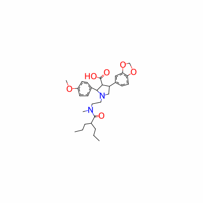 CCCC(CCC)C(=O)N(C)CCN1CC(c2ccc3c(c2)OCO3)C(C(=O)O)C1c1ccc(OC)cc1